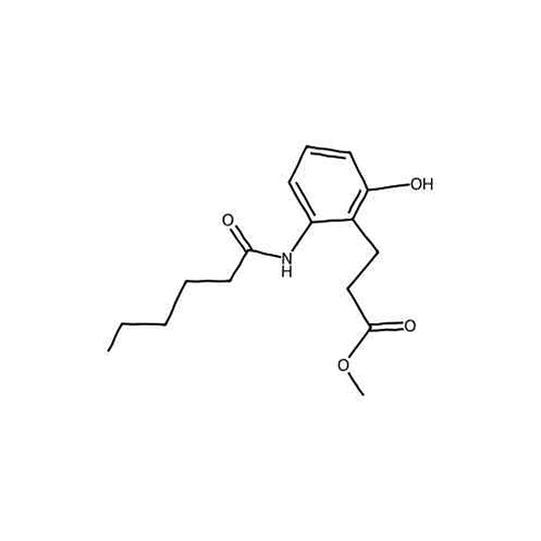 CCCCCC(=O)Nc1cccc(O)c1CCC(=O)OC